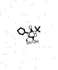 CC(C)(C)OC(=O)N(C1CCCCC1)[C@@H](CS)C(=O)O